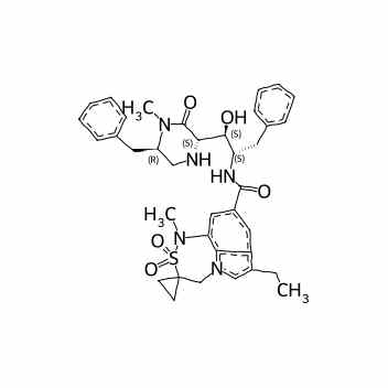 CCc1cn2c3c(cc(C(=O)N[C@@H](Cc4ccccc4)[C@H](O)[C@@H]4NC[C@@H](Cc5ccccc5)N(C)C4=O)cc13)N(C)S(=O)(=O)C1(CC1)C2